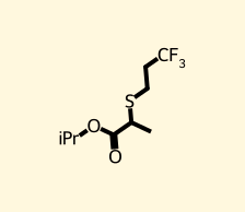 CC(C)OC(=O)C(C)SCCC(F)(F)F